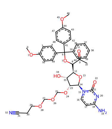 COc1ccc(C(OC(C(C)=O)[C@H]2O[C@@H](n3ccc(N)nc3=O)[C@H](OCOCOCCC#N)[C@@H]2O)(c2ccccc2)c2ccc(OC)cc2)cc1